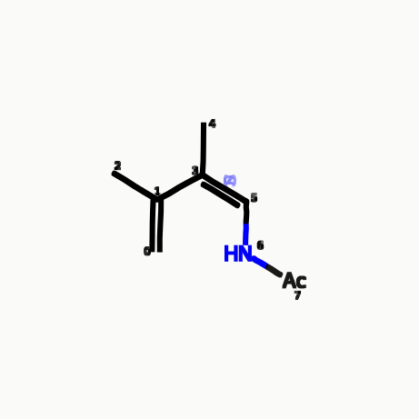 C=C(C)/C(C)=C\NC(C)=O